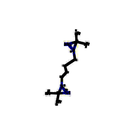 CCCC1(CCC)NN1CCCCN1NC1(CCC)CCC